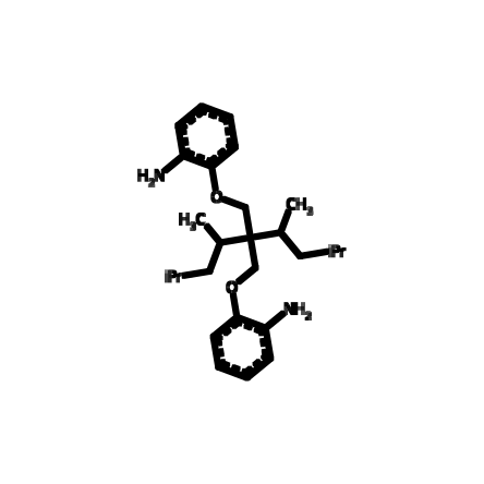 CC(C)CC(C)C(COc1ccccc1N)(COc1ccccc1N)C(C)CC(C)C